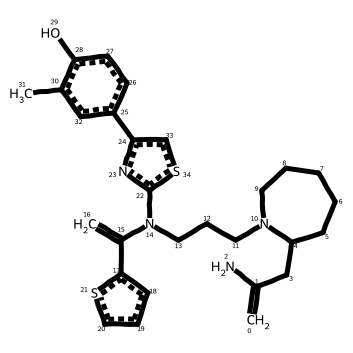 C=C(N)CC1CCCCCN1CCCN(C(=C)c1cccs1)c1nc(-c2ccc(O)c(C)c2)cs1